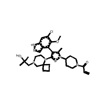 C=CC(=O)N1CCC(n2nc(N3CCN(CC(C)(C)O)CC34CCC4)c(-c3c(OC)c(Cl)cc4[nH]ncc34)c2C)CC1